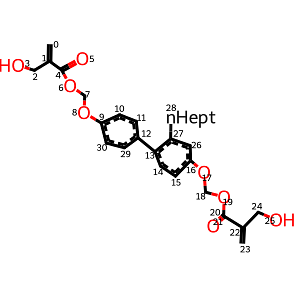 C=C(CO)C(=O)OCOc1ccc(-c2ccc(OCOC(=O)C(=C)CO)cc2CCCCCCC)cc1